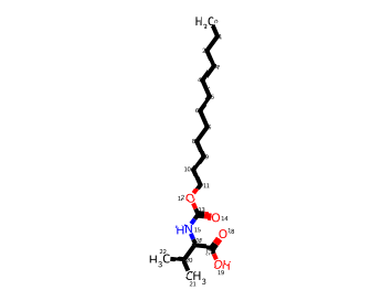 CCCCCCCCCCCCOC(=O)NC(C(=O)O)C(C)C